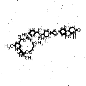 Cc1cc2cc(n1)-c1cnn(C)c1OCCC[C@@H](C)CN1/C(=N/C2=O)Nc2ccc(C(=O)N(C)C3CCN(C4CN(c5cc(F)c([C@H]6CCC(=O)NC6=O)c(F)c5)C4)CC3)cc21